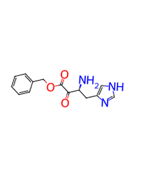 N[C@@H](Cc1c[nH]cn1)C(=O)C(=O)OCc1ccccc1